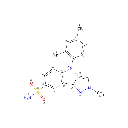 [2H]c1cc(C(F)(F)F)ccc1-n1c2ccc(S(N)(=O)=O)cc2c2nn(C)cc21